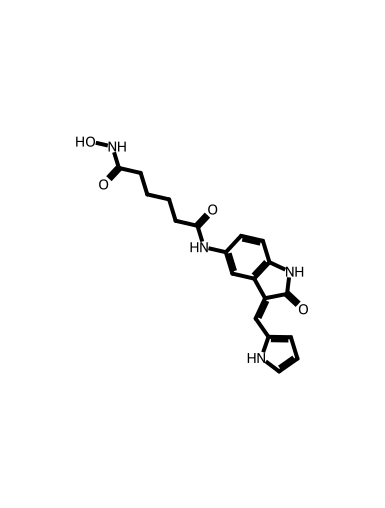 O=C(CCCCC(=O)Nc1ccc2c(c1)C(=Cc1ccc[nH]1)C(=O)N2)NO